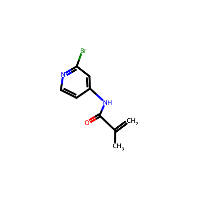 C=C(C)C(=O)Nc1ccnc(Br)c1